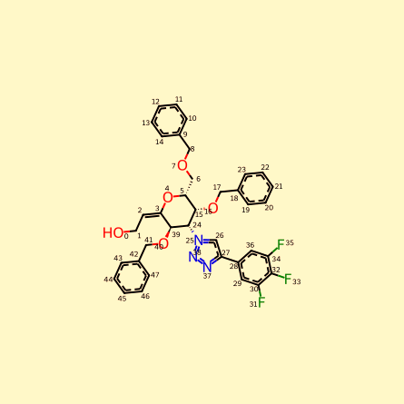 OC/C=C1/O[C@H](COCc2ccccc2)[C@H](OCc2ccccc2)[C@H](n2cc(-c3cc(F)c(F)c(F)c3)nn2)[C@H]1OCc1ccccc1